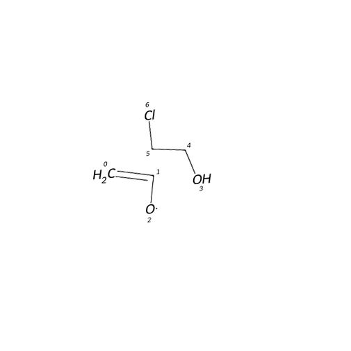 C=C[O].OCCCl